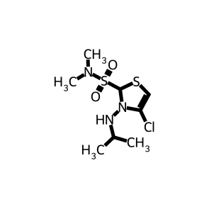 CC(C)NN1C(Cl)=CSC1S(=O)(=O)N(C)C